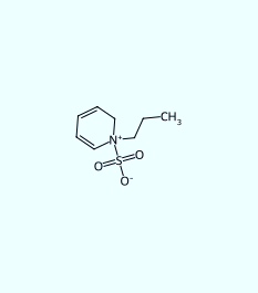 CCC[N+]1(S(=O)(=O)[O-])C=CC=CC1